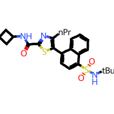 CCCc1nc(C(=O)NC2CCC2)sc1-c1ccc(S(=O)(=O)NC(C)(C)C)c2ccccc12